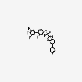 Cc1ccc(-c2ccc3nc(C(F)(F)Oc4ccc(-c5cc(F)c(F)c(F)c5)c(F)c4)sc3c2)cc1